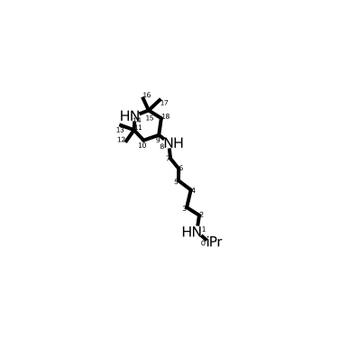 CC(C)NCCCCCCNC1CC(C)(C)NC(C)(C)C1